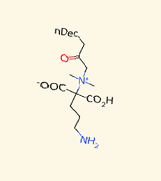 CCCCCCCCCCCC(=O)C[N+](C)(C)C(CCCN)(C(=O)[O-])C(=O)O